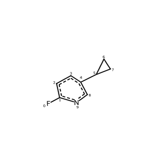 Fc1ccc(C2CC2)cn1